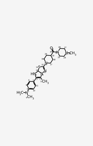 CC1=C(c2ccc(N(C)C)cc2)NC2SC(N3CCC(C(=O)N4CCN(C)CC4)CC3)=NN12